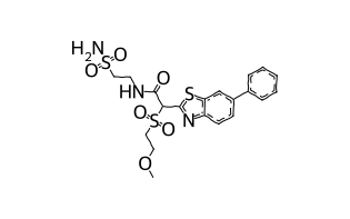 COCCS(=O)(=O)C(C(=O)NCCS(N)(=O)=O)c1nc2ccc(-c3ccccc3)cc2s1